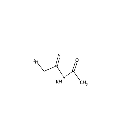 [2H]CC(=S)SC(C)=O.[KH]